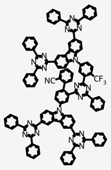 N#Cc1ccccc1-c1ccc(-n2c3ccc(-c4nc(-c5ccccc5)nc(-c5ccccc5)n4)cc3c3cc(-c4nc(-c5ccccc5)nc(-c5ccccc5)n4)ccc32)cc1-c1nc(-c2ccccc2)nc(-c2cc(-n3c4ccc(-c5nc(-c6ccccc6)nc(-c6ccccc6)n5)cc4c4cc(-c5nc(-c6ccccc6)nc(-c6ccccc6)n5)ccc43)ccc2C(F)(F)F)n1